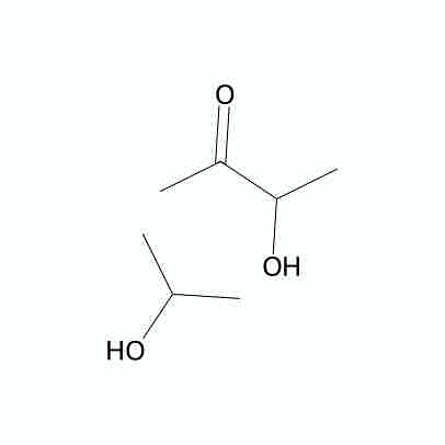 CC(=O)C(C)O.CC(C)O